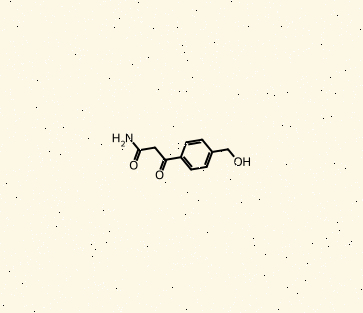 NC(=O)CC(=O)c1ccc(CO)cc1